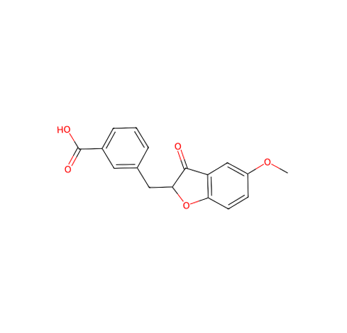 COc1ccc2c(c1)C(=O)C(Cc1cccc(C(=O)O)c1)O2